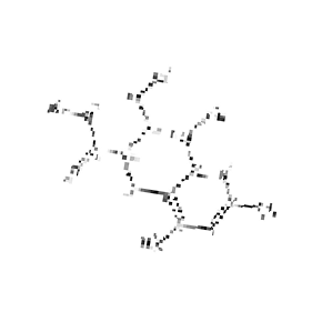 CCCCOc1nc(C)cc(C)c1CN(CCO)C(=O)OC(C)(C)C